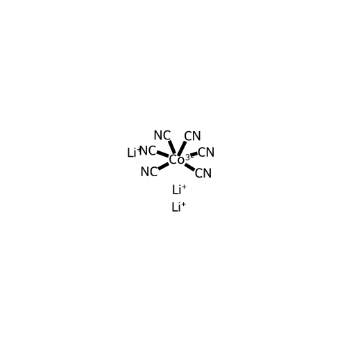 N#[C][Co-3]([C]#N)([C]#N)([C]#N)([C]#N)[C]#N.[Li+].[Li+].[Li+]